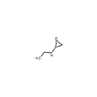 CCPP1CN1